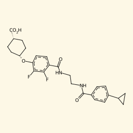 O=C(NCCNC(=O)c1ccc(O[C@H]2CC[C@@H](C(=O)O)CC2)c(F)c1F)c1ccc(C2CC2)cc1